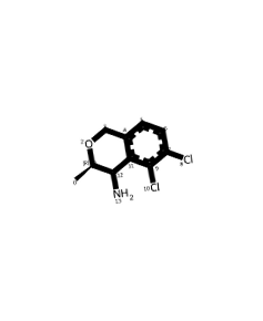 C[C@H]1OCc2ccc(Cl)c(Cl)c2C1N